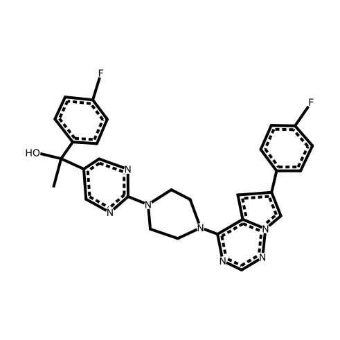 CC(O)(c1ccc(F)cc1)c1cnc(N2CCN(c3ncnn4cc(-c5ccc(F)cc5)cc34)CC2)nc1